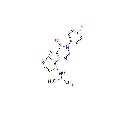 CC(C)Nc1ccnc2sc3c(=O)n(-c4ccc(F)cc4)cnc3c12